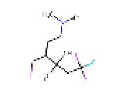 CCN(C)CCC(CI)C(C)(C)CC(F)(I)I